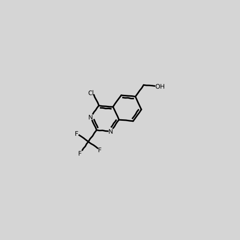 OCc1ccc2nc(C(F)(F)F)nc(Cl)c2c1